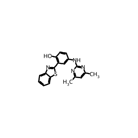 Cc1cc(C)nc(Nc2ccc(O)c(-c3nc4ccccc4s3)c2)n1